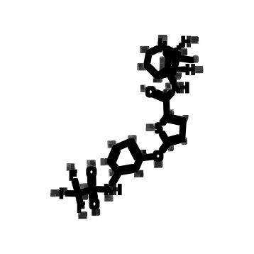 C[C@H]1[C@H](NC(=O)c2ccc(Oc3cccc(NS(=O)(=O)C(F)(F)F)c3)s2)C2CCN1CC2